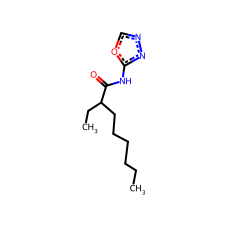 CCCCCCC(CC)C(=O)Nc1nnco1